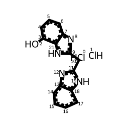 Cl.Cl.Oc1cccc2nc(Cc3nc4ccccc4[nH]3)[nH]c12